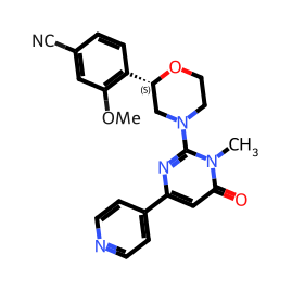 COc1cc(C#N)ccc1[C@H]1CN(c2nc(-c3ccncc3)cc(=O)n2C)CCO1